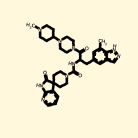 Cc1cc(CC(NC(=O)N2CCC3(CC2)C(=O)Nc2ncccc23)C(=O)N2CCN(C3CCN(C)CC3)CC2)cc2cn[nH]c12